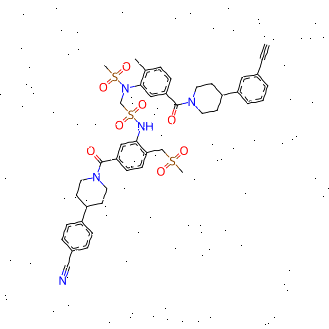 C#Cc1cccc(C2CCN(C(=O)c3ccc(C)c(N(CS(=O)(=O)Nc4cc(C(=O)N5CCC(c6ccc(C#N)cc6)CC5)ccc4CS(C)(=O)=O)S(C)(=O)=O)c3)CC2)c1